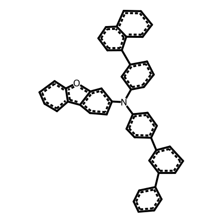 c1ccc(-c2cccc(-c3ccc(N(c4cccc(-c5cccc6ccccc56)c4)c4ccc5c(c4)oc4ccccc45)cc3)c2)cc1